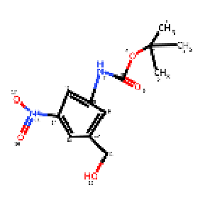 CC(C)(C)OC(=O)Nc1cc(CO)cc([N+](=O)[O-])c1